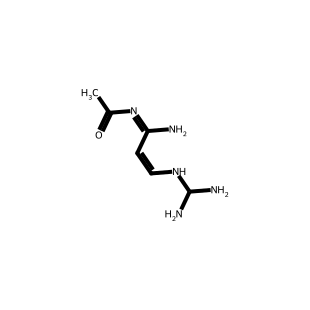 CC(=O)/N=C(N)\C=C/NC(N)N